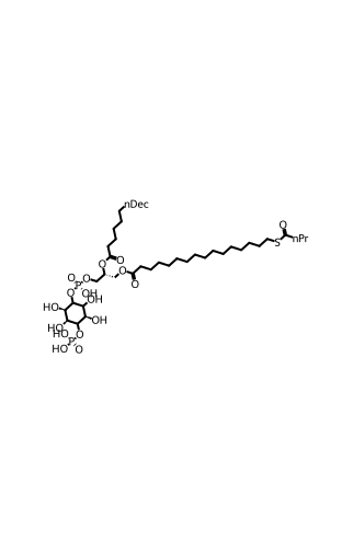 CCCCCCCCCCCCCCCC(=O)O[C@H](COC(=O)CCCCCCCCCCCCCCCSC(=O)CCC)COP(=O)(O)OC1C(O)[C@@H](O)C(OP(=O)(O)O)[C@@H](O)[C@H]1O